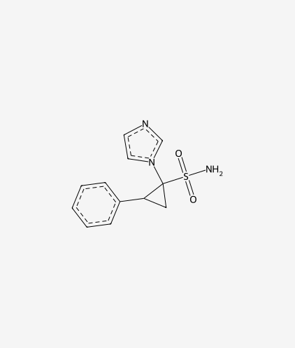 NS(=O)(=O)C1(n2ccnc2)CC1c1ccccc1